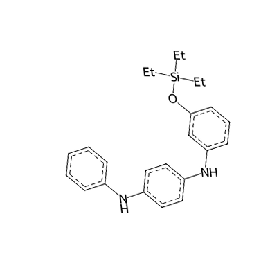 CC[Si](CC)(CC)Oc1cccc(Nc2ccc(Nc3ccccc3)cc2)c1